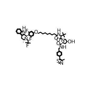 Cc1ncsc1-c1ccc(CNC(=O)[C@@H]2C[C@@H](O)CN2C(=O)[C@@H](NC(=O)CCCCCCCCOc2cc(F)c([C@@H]3c4[nH]c5ccccc5c4C[C@@H](C)N3CC(C)(C)F)c(F)c2)C(C)(C)C)cc1